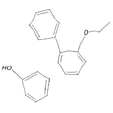 CCOc1ccccc1-c1ccccc1.Oc1ccccc1